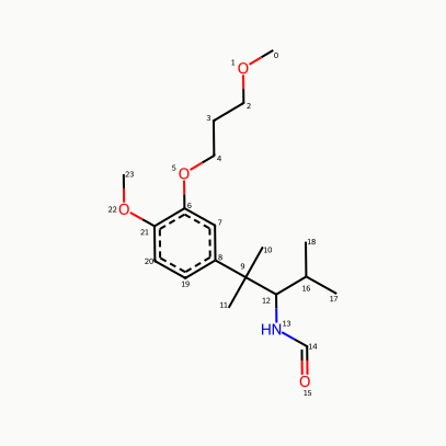 COCCCOc1cc(C(C)(C)C(NC=O)C(C)C)ccc1OC